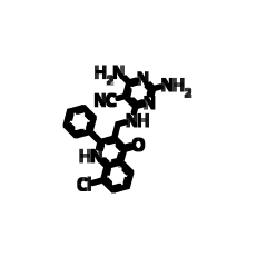 N#Cc1c(N)nc(N)nc1NCc1c(-c2ccccc2)[nH]c2c(Cl)cccc2c1=O